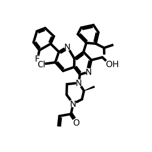 C=CC(=O)N1CCN(c2nc(CO)c(-c3ccccc3C(C)C)c3nc(-c4ccccc4F)c(Cl)cc23)[C@@H](C)C1